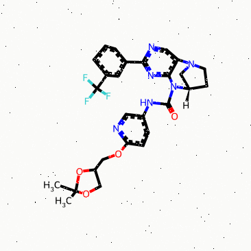 CC1(C)OCC(COc2ccc(NC(=O)N3c4nc(-c5cccc(C(F)(F)F)c5)ncc4N4CC[C@H]3C4)cn2)O1